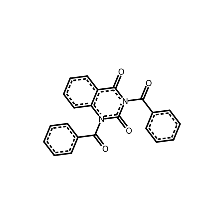 O=C(c1ccccc1)n1c(=O)c2ccccc2n(C(=O)c2ccccc2)c1=O